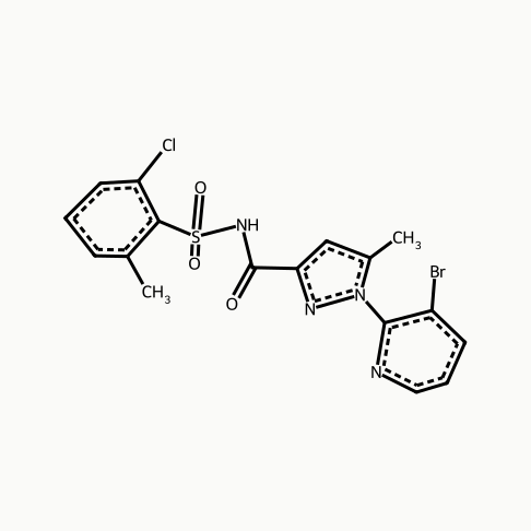 Cc1cccc(Cl)c1S(=O)(=O)NC(=O)c1cc(C)n(-c2ncccc2Br)n1